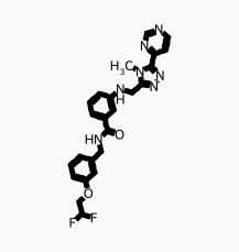 Cn1c(CNc2cccc(C(=O)NCc3cccc(OCC(F)F)c3)c2)nnc1-c1ccncn1